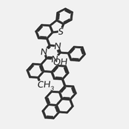 CC1CC=CC(c2nc(C3=CC=CC4c5ccccc5SC34)nc(-c3ccccc3)n2)=C1c1cc(-c2ccc3c4c2CC=C2CC=CC(=C24)CC3)ccc1O